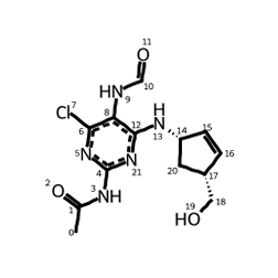 CC(=O)Nc1nc(Cl)c(NC=O)c(N[C@@H]2C=C[C@H](CO)C2)n1